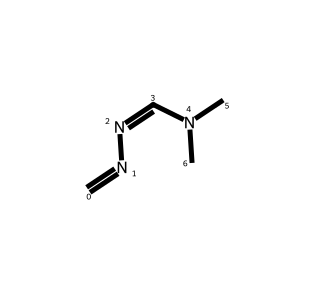 C=N/N=C\N(C)C